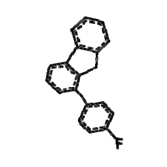 Fc1ccc(-c2cccc3c2Cc2ccccc2-3)cc1